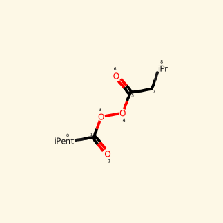 CCCC(C)C(=O)OOC(=O)CC(C)C